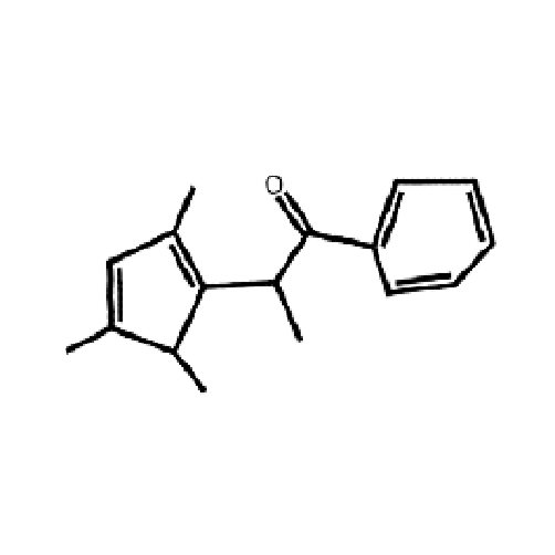 CC1=CC(C)=C(C(C)C(=O)c2ccccc2)C1C